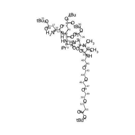 CC(C)[C@H](NC(=O)[C@H](CCC(=O)OC(C)(C)C)NC(=O)[C@H](N)CC(=O)OC(C)(C)C)C(=O)N[C@H](CC(=O)OC(C)(C)C)C(=O)N(C)[C@@H](C)C(=O)NCCOCCOCCOCCOCCC(=O)OC(C)(C)C